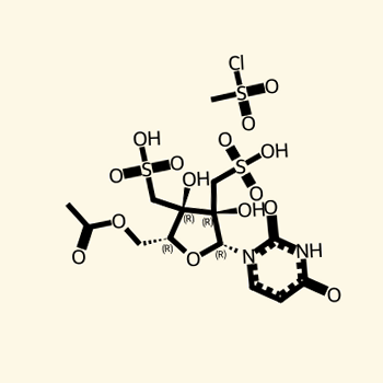 CC(=O)OC[C@H]1O[C@@H](n2ccc(=O)[nH]c2=O)[C@@](O)(CS(=O)(=O)O)[C@@]1(O)CS(=O)(=O)O.CS(=O)(=O)Cl